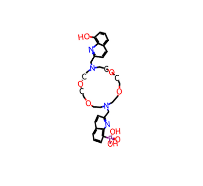 O=P(O)(O)c1cccc2ccc(CN3CCOCCOCCN(Cc4ccc5cccc(O)c5n4)CCOCCOCC3)nc12